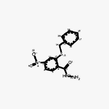 NNC(=O)c1ccc([N+](=O)[O-])cc1SCc1ccccc1